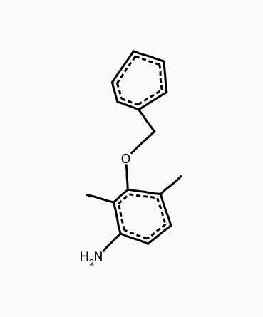 Cc1ccc(N)c(C)c1OCc1ccccc1